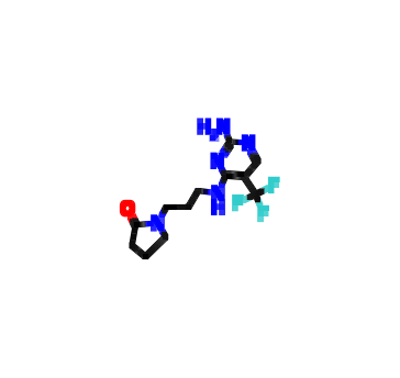 Nc1ncc(C(F)(F)F)c(NCCCN2CCCC2=O)n1